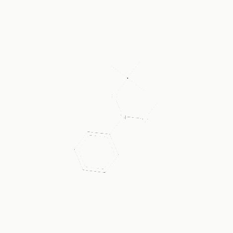 CO[Si](OC(C)(C)C)c1ccccc1